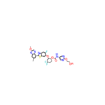 COc1cnc2c(-c3nc4cc(F)c(O[C@H]5CC(F)(F)CC[C@H]5OC(=O)Nc5cnc(OCCO)nc5)cc4s3)cc(C)cc2n1